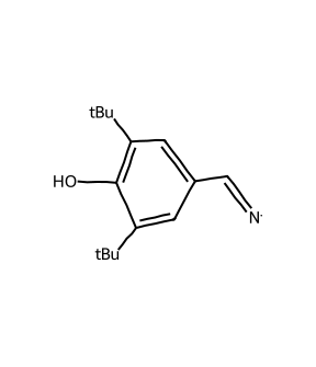 CC(C)(C)c1cc(C=[N])cc(C(C)(C)C)c1O